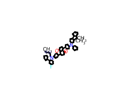 C/C=C\C=C/CN(c1ccc2c(c1)Oc1ccc3c4c(ccc-2c14)Oc1cc(N(c2ccccc2)c2ccc4c(c2)C(C)(C)c2ccccc2-4)ccc1-3)c1ccc(F)cc1-c1ccccc1